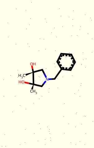 C[C@]1(O)CN(Cc2ccccc2)C[C@@]1(C)O